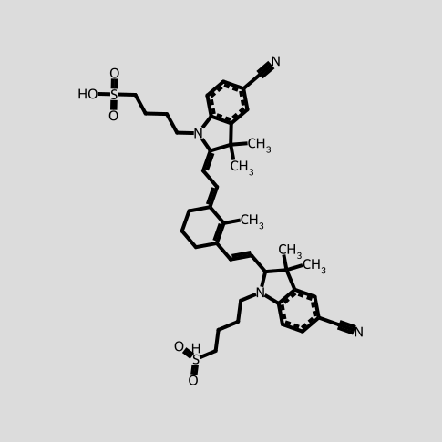 CC1=C(/C=C/C2N(CCCC[SH](=O)=O)c3ccc(C#N)cc3C2(C)C)CCC/C1=C\C=C1\N(CCCCS(=O)(=O)O)c2ccc(C#N)cc2C1(C)C